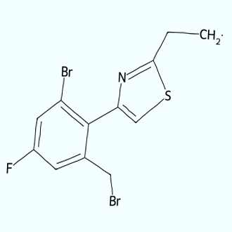 [CH2]Cc1nc(-c2c(Br)cc(F)cc2CBr)cs1